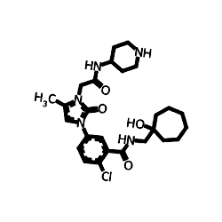 Cc1cn(-c2ccc(Cl)c(C(=O)NCC3(O)CCCCCC3)c2)c(=O)n1CC(=O)NC1CCNCC1